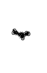 COC(=O)N1CC=C(c2ccc3c(c2)CCn2c(OC[C@@H]4COCCO4)cc(=O)c(C)c2-3)CC1